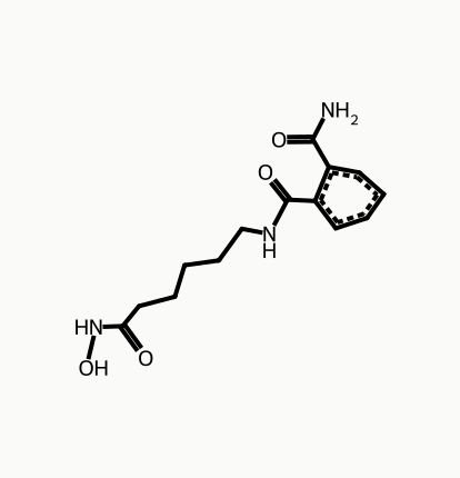 NC(=O)c1ccccc1C(=O)NCCCCCC(=O)NO